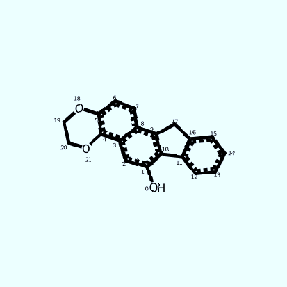 Oc1cc2c3c(ccc2c2c1-c1ccccc1C2)OCCO3